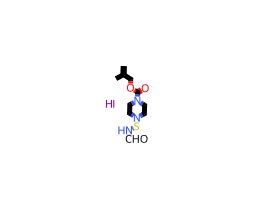 C=C(C)COC(=O)N1CCN(SNC=O)CC1.I